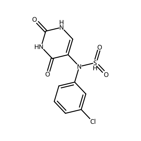 O=c1[nH]cc(N(c2cccc(Cl)c2)[SH](=O)=O)c(=O)[nH]1